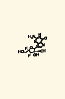 C#C[C@]1(O)[C@H](n2cnc3c(=O)[nH]c(N)nc32)O[C@](F)(CO)[C@H]1F